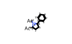 CC(=O)[C@@H]1CCC(c2ccccc2)N1C(C)=O